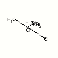 CCCCCCCCCCCCCC(CCCCCCCCCCCCCCCCO)CCCC[N+](C)(C)C.[Cl-]